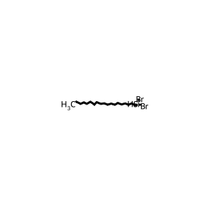 CCCCCCCCCCCCCCCCCCC[SiH](Br)Br